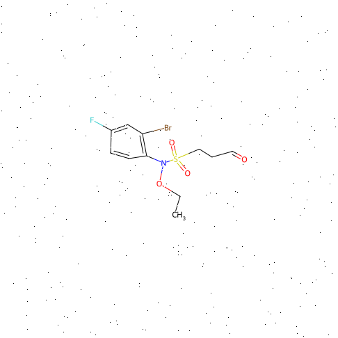 CCON(c1ccc(F)cc1Br)S(=O)(=O)CCC=O